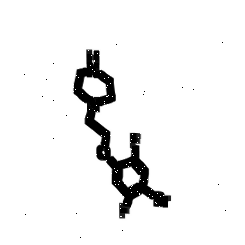 Fc1cc(OCCN2CCNCC2)c(F)cc1Br